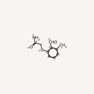 Cc1cccc(OCC(N)=O)c1C=O